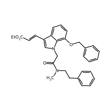 CCOC(=O)C=Cc1cn(CC(=O)N(C)CCc2ccccc2)c2c(OCc3ccccc3)cccc12